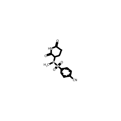 CN(C1CCC(=O)NC1=O)S(=O)(=O)c1ccc(C#N)cc1